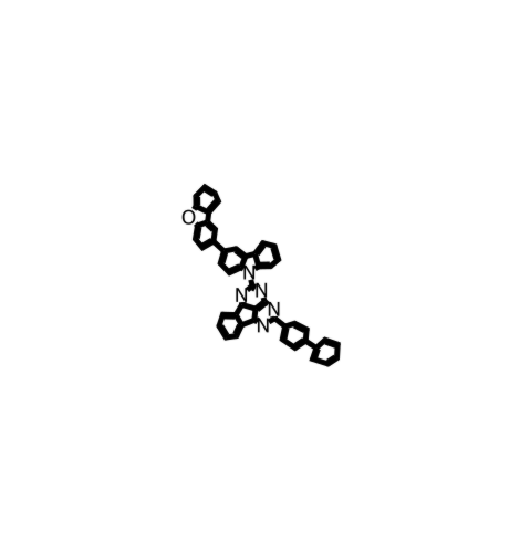 c1ccc(-c2ccc(-c3nc4c5c(nc(-n6c7ccccc7c7cc(-c8ccc9oc%10ccccc%10c9c8)ccc76)nc5n3)-c3ccccc3-4)cc2)cc1